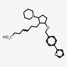 O=C(O)CCC=CCCC1C(OCc2ccc(-c3cccs3)cc2)CCC1N1CCCCC1